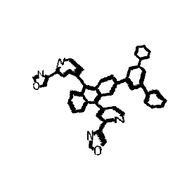 c1ccc(-c2cc(-c3ccccc3)cc(-c3ccc4c(-c5ccnc(-c6cocn6)c5)c5ccccc5c(-c5ccnc(-c6cocn6)c5)c4c3)c2)cc1